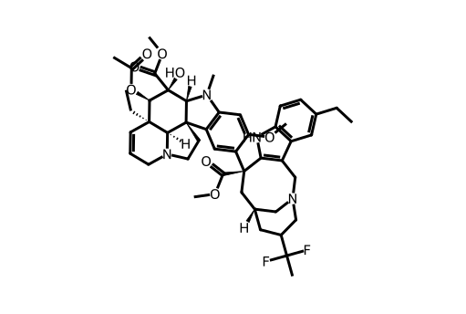 CCc1ccc2[nH]c3c(c2c1)CN1CC(C(C)(F)F)C[C@@H](C1)C[C@]3(C(=O)OC)c1cc2c(cc1OC)N(C)[C@H]1[C@@](O)(C(=O)OC)[C@H](OC(C)=O)[C@]3(CC)C=CCN4CC[C@]21[C@@H]43